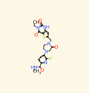 CCn1c(=O)[nH]c2cc(CN3CCN(c4ccc(C(=O)NC)nc4F)CC3=O)sc2c1=O